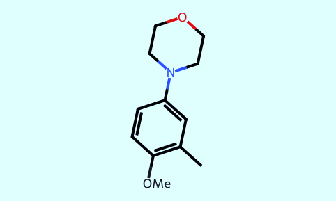 COc1ccc(N2CCOCC2)cc1C